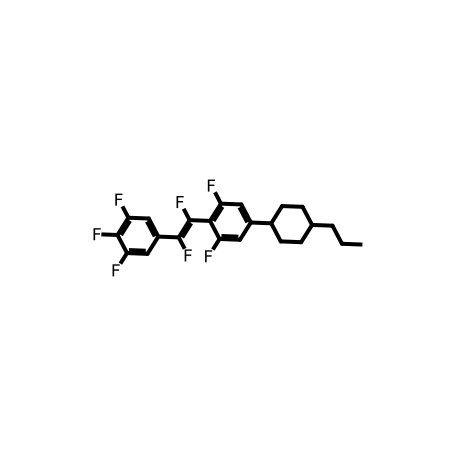 CCCC1CCC(c2cc(F)c(/C(F)=C(\F)c3cc(F)c(F)c(F)c3)c(F)c2)CC1